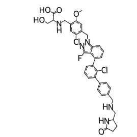 COc1cc(Cn2nc(F)c3c(-c4cccc(-c5ccc(CNCC6CCC(=O)N6)cc5)c4Cl)cccc32)c(Cl)cc1CNC(CO)C(=O)O